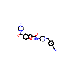 N#Cc1ccc(CN2CCC(NC(=O)c3cc4cc(C(=O)N5CCNCC5)ccc4o3)CC2)cc1